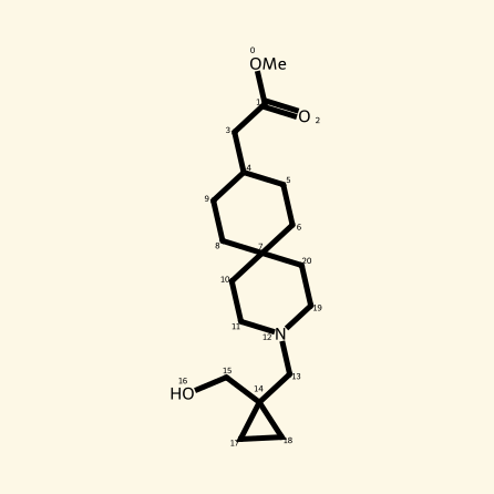 COC(=O)CC1CCC2(CC1)CCN(CC1(CO)CC1)CC2